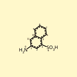 Nc1cc(S(=O)(=O)O)c2ccccc2c1